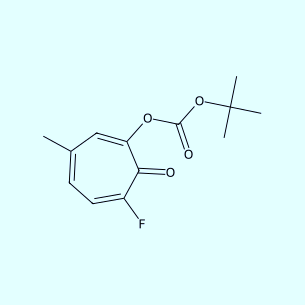 Cc1ccc(F)c(=O)c(OC(=O)OC(C)(C)C)c1